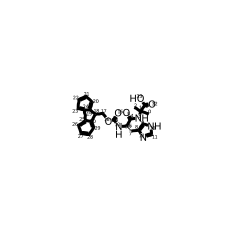 CC(C)(NC(=O)[C@H](Cc1c[nH]cn1)NC(=O)OCC1c2ccccc2-c2ccccc21)C(=O)O